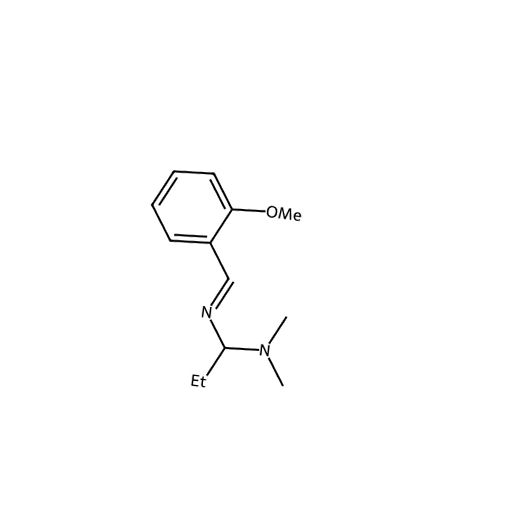 CCC(N=Cc1ccccc1OC)N(C)C